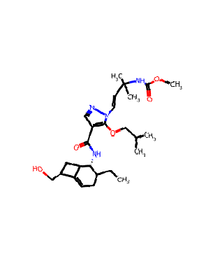 CCC1CC=C2C(C[C@@H]2CO)[C@@H]1NC(=O)c1cnn(/C=C/C(C)(C)NC(=O)OC)c1OCC(C)C